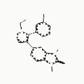 CCOC(=O)Cn1ncc(-c2ccc3c(c2)n(CC)c(=O)n3CC)c1-c1cccc(C)c1